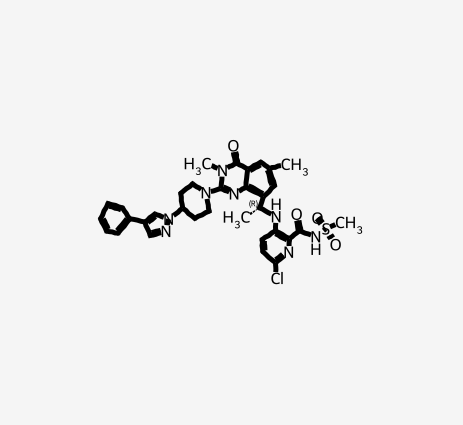 Cc1cc([C@@H](C)Nc2ccc(Cl)nc2C(=O)NS(C)(=O)=O)c2nc(N3CCC(n4cc(-c5ccccc5)cn4)CC3)n(C)c(=O)c2c1